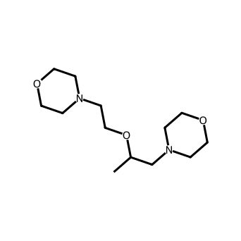 CC(CN1CCOCC1)OCCN1CCOCC1